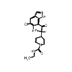 CCNC(=O)N1CCC(C(F)(F)C(=O)c2c(F)c(Cl)cc3cn[nH]c23)CC1